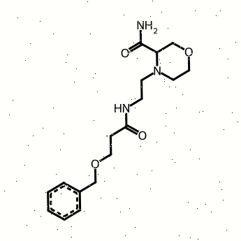 NC(=O)C1COCCN1CCNC(=O)[CH]COCc1ccccc1